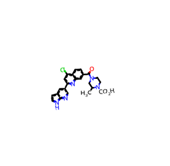 CC1CN(C(=O)c2ccc3c(Cl)cc(-c4cnc5[nH]ccc5c4)nc3c2)CCN1C(=O)O